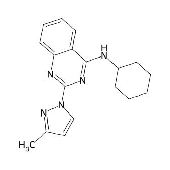 Cc1ccn(-c2nc(NC3CCCCC3)c3ccccc3n2)n1